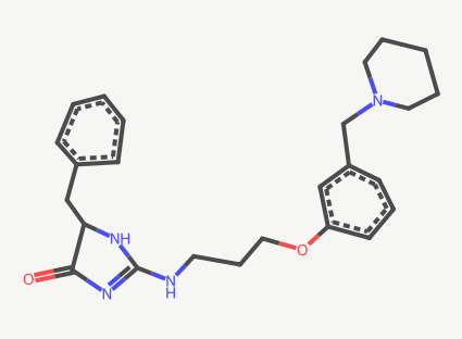 O=C1N=C(NCCCOc2cccc(CN3CCCCC3)c2)NC1Cc1ccccc1